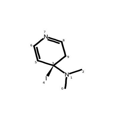 CN(C)[C@]1(I)C=CN=CC1